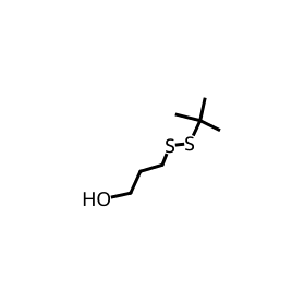 CC(C)(C)SSCCCO